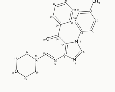 Cc1ccc(-n2cnc(N=CN3CCOCC3)c2C(=O)c2ccccc2)cc1